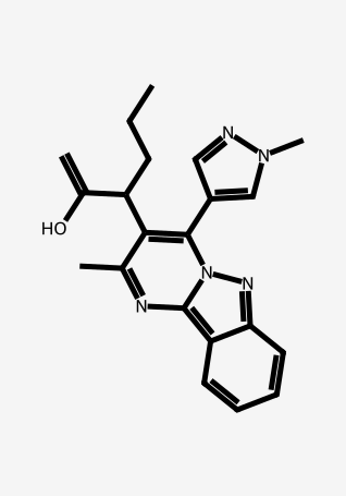 C=C(O)C(CCC)c1c(C)nc2c3ccccc3nn2c1-c1cnn(C)c1